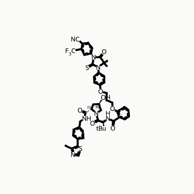 Cc1ncsc1-c1ccc(CNC(=O)[C@@H]2C[C@@H](O)CN2C(=O)[C@@H](NC(=O)c2ccccc2OCCCOc2ccc(N3C(=S)N(c4ccc(C#N)c(C(F)(F)F)c4)C(=O)C3(C)C)cc2)C(C)(C)C)cc1